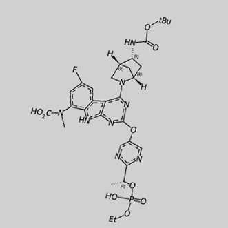 CCOP(=O)(O)O[C@H](C)c1ncc(Oc2nc(N3C[C@H]4C[C@@H]3C[C@H]4NC(=O)OC(C)(C)C)c3c(n2)[nH]c2c(N(C)C(=O)O)cc(F)cc23)cn1